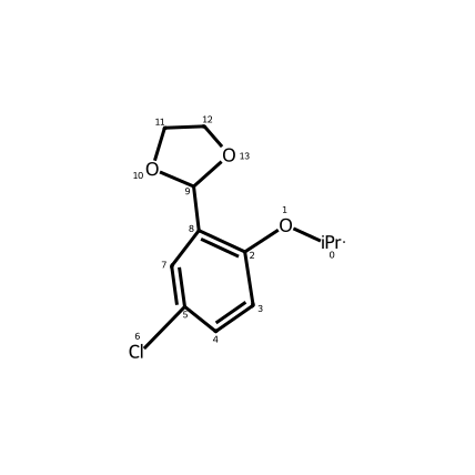 C[C](C)Oc1ccc(Cl)cc1C1OCCO1